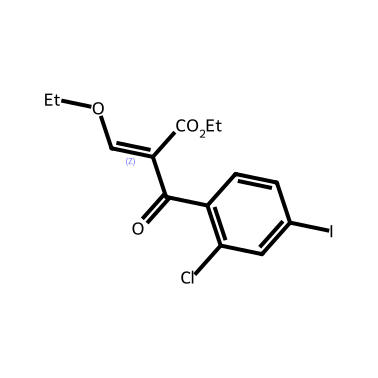 CCO/C=C(\C(=O)OCC)C(=O)c1ccc(I)cc1Cl